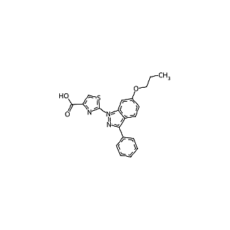 CCCOc1ccc2c(-c3ccccc3)nn(-c3nc(C(=O)O)cs3)c2c1